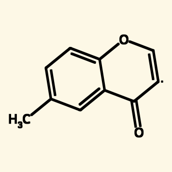 Cc1ccc2oc[c]c(=O)c2c1